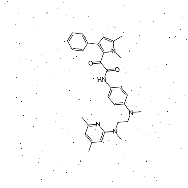 Cc1cc(C)nc(N(C)CCN(C)c2ccc(NC(=O)C(=O)c3c(-c4ccccc4)cc(C)n3C)cc2)c1